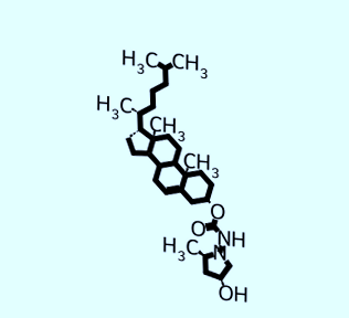 CC(C)CCC[C@@H](C)[C@H]1CCC2C3CC=C4C[C@@H](OC(=O)NN5C[C@H](O)C[C@H]5C)CC[C@]4(C)C3CC[C@@]21C